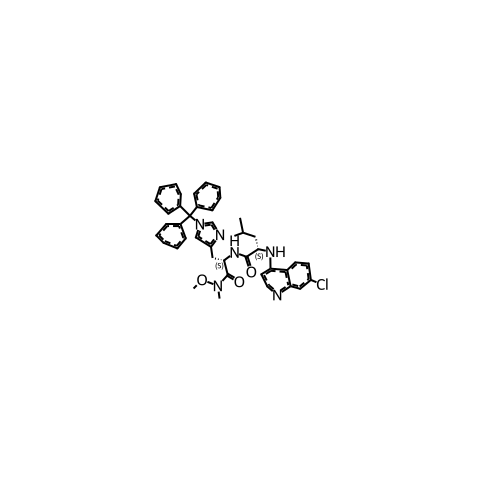 CON(C)C(=O)[C@H](Cc1cn(C(c2ccccc2)(c2ccccc2)c2ccccc2)cn1)NC(=O)[C@H](CC(C)C)Nc1ccnc2cc(Cl)ccc12